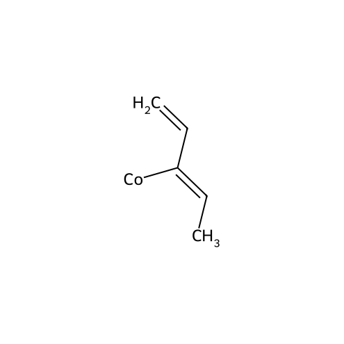 C=C[C]([Co])=CC